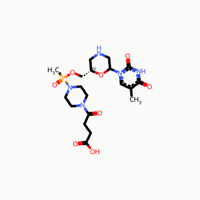 Cc1cn(C2CNC[C@@H](COP(C)(=O)N3CCN(C(=O)CCC(=O)O)CC3)O2)c(=O)[nH]c1=O